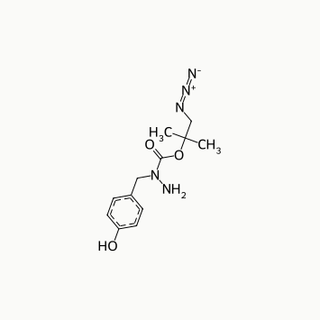 CC(C)(CN=[N+]=[N-])OC(=O)N(N)Cc1ccc(O)cc1